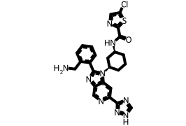 NCc1ccccc1-c1nc2cnc(-c3nc[nH]n3)cc2n1[C@@H]1CCC[C@H](NC(=O)c2ncc(Cl)s2)C1